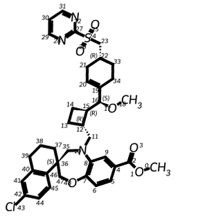 COC(=O)c1ccc2c(c1)N(C[C@@H]1CC[C@H]1[C@H](OC)C1=CC[C@H](CS(=O)(=O)c3ncccn3)CC1)C[C@@]1(CCCc3cc(Cl)ccc31)CO2